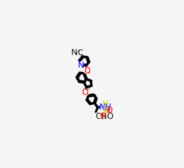 N#Cc1ccc(Oc2cccc3c2CC[C@H]3Oc2ccc(C(CC=O)N[SH](=O)=O)cc2)nc1